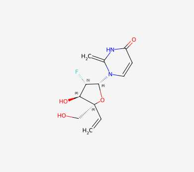 C=C[C@]1(CO)O[C@@H](N2C=CC(=O)NC2=C)[C@@H](F)[C@@H]1O